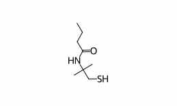 CCCC(=O)NC(C)(C)CS